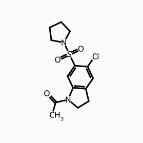 CC(=O)N1CCc2cc(Cl)c(S(=O)(=O)N3CCCC3)cc21